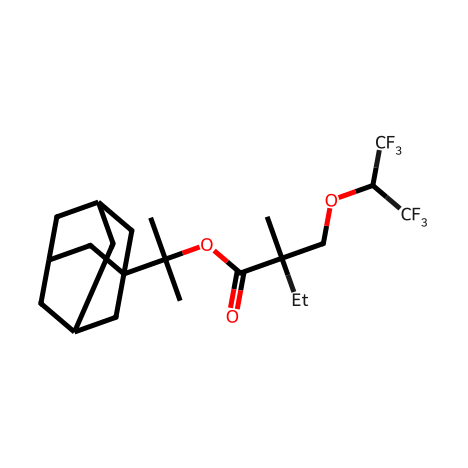 CCC(C)(COC(C(F)(F)F)C(F)(F)F)C(=O)OC(C)(C)C12CC3CC(CC(C3)C1)C2